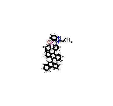 CCc1nc2cccc3c2n1-c1ccc(-c2c4ccccc4c(-c4cc5ccccc5c5ccccc45)c4ccccc24)cc1P3(=O)c1ccccc1